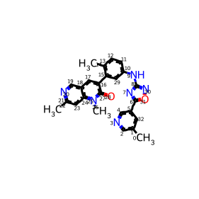 Cc1cncc(-c2nc(Nc3ccc(C)c(-c4cc5cnc(C)cc5n(C)c4=O)c3)no2)c1